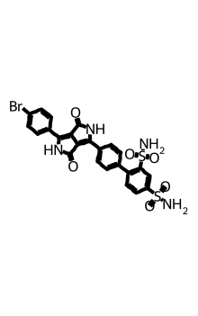 NS(=O)(=O)c1ccc(-c2ccc(C3=C4C(=O)NC(c5ccc(Br)cc5)=C4C(=O)N3)cc2)c(S(N)(=O)=O)c1